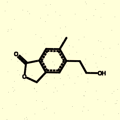 Cc1cc2c(cc1CCO)COC2=O